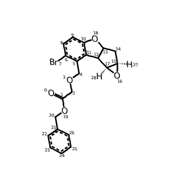 O=C(COCc1c(Br)ccc2c1C1C(C[C@H]3O[C@@H]13)O2)OCc1ccccc1